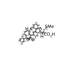 CSCCC(NC(=O)c1ccc(C(c2ccccc2Cc2ccccc2)P(=O)=O)cc1-c1ccccc1C)C(=O)O